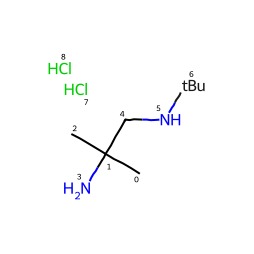 CC(C)(N)CNC(C)(C)C.Cl.Cl